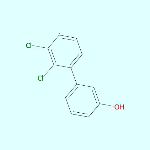 Oc1cccc(-c2cc[c]c(Cl)c2Cl)c1